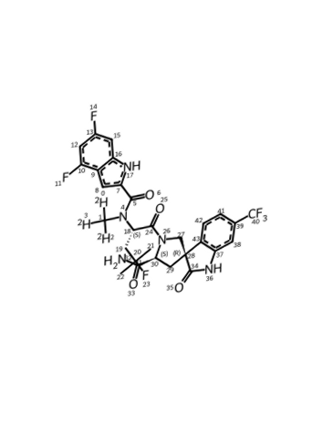 [2H]C([2H])([2H])N(C(=O)c1cc2c(F)cc(F)cc2[nH]1)[C@@H](CC(C)(C)F)C(=O)N1C[C@]2(C[C@H]1C(N)=O)C(=O)Nc1cc(C(F)(F)F)ccc12